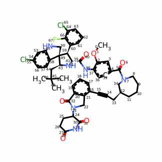 COc1cc(C(=O)N2CCCC[C@@H](CC#Cc3cccc4c3CN(C3CCC(=O)NC3=O)C4=O)C2)ccc1NC(=O)[C@@H]1N[C@@H](CC(C)(C)C)[C@@]2(CNc3cc(Cl)ccc32)[C@H]1c1cccc(Cl)c1F